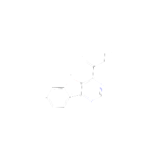 C=C(CC)c1ncnc2c1oc1ccccc12